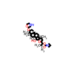 CC(C)[C@@H](OC(=O)N1CCC1)C1C[C@@H](C)[C@H]2C(O1)[C@H](O)[C@@]1(C)C3CC[C@H]4C(C)(C)C(O[C@H]5CNCCO5)CC[C@@]45C[C@@]35CC[C@]21C